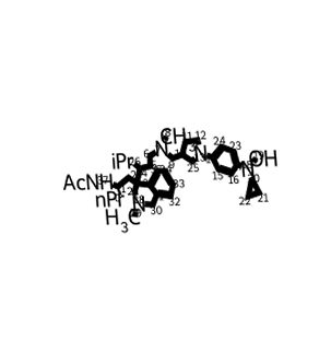 CCC[C@H](CC1(C(CCN(C)CC2CCN(c3ccc(N(O)C4CC4)cc3)C2)C(C)C)CN(C)Cc2ccccc21)NC(C)=O